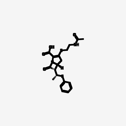 CC(=O)NCCSC1=C(C(=O)O)N2C(=O)[C@@H]([C@@H](C)Sc3ccccc3)[C@H]2C1